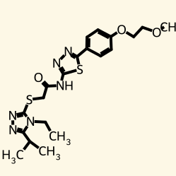 CCn1c(SCC(=O)Nc2nnc(-c3ccc(OCCOC)cc3)s2)nnc1C(C)C